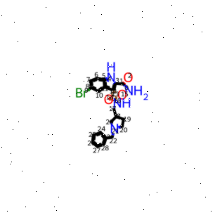 NC(=O)c1[nH]c2ccc(Br)cc2c1S(=O)(=O)NCC1CCN(Cc2ccccc2)C1